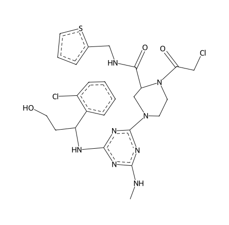 CNc1nc(NC(CCO)c2ccccc2Cl)nc(N2CCN(C(=O)CCl)C(C(=O)NCc3cccs3)C2)n1